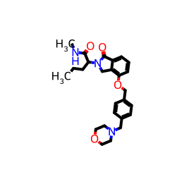 CCCC(C(=O)NC)N1Cc2c(OCc3ccc(CN4CCOCC4)cc3)cccc2C1=O